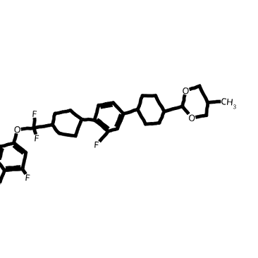 CC1COC(C2CCC(c3ccc(C4CCC(C(F)(F)Oc5ccc(F)c(F)c5)CC4)c(F)c3)CC2)OC1